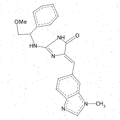 COCC(NC1=N/C(=C\c2ccc3ncn(C)c3c2)C(=O)N1)c1ccccc1